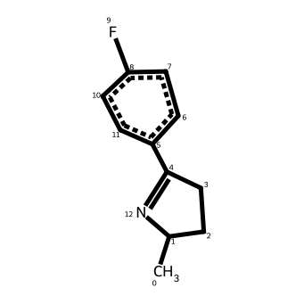 CC1CCC(c2ccc(F)cc2)=N1